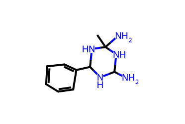 CC1(N)NC(N)NC(c2ccccc2)N1